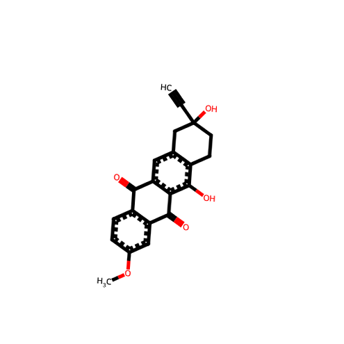 C#CC1(O)CCc2c(cc3c(c2O)C(=O)c2cc(OC)ccc2C3=O)C1